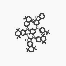 CC(C)(C)c1ccc(N(c2cc3c4c(c2)N(c2ccc5c(c2)C(C)(C)CCC5(C)C)c2c(oc5cc6c(cc25)C(C)(C)CCC6(C)C)B4c2cc4c(cc2N3c2ccc3c(c2)C(C)(C)CCC3(C)C)C(C)(C)CCC4(C)C)c2ccc3oc4ccccc4c3c2)cc1